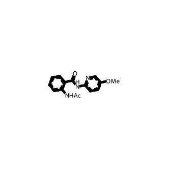 COc1ccc(NC(=O)c2ccccc2NC(C)=O)nc1